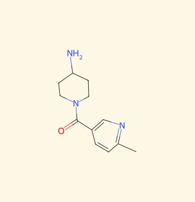 Cc1ccc(C(=O)N2CCC(N)CC2)cn1